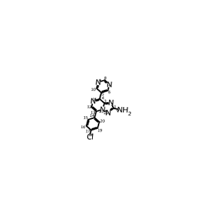 Nc1nc2c(-c3cncnc3)ncc(-c3ccc(Cl)cc3)n2n1